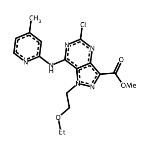 CCOCCn1nc(C(=O)OC)c2nc(Cl)nc(Nc3cc(C)ccn3)c21